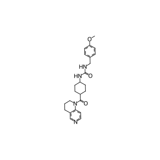 COc1ccc(CNC(=O)NC2CCC(C(=O)N3CCCc4cnccc43)CC2)cc1